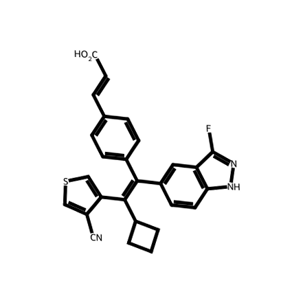 N#Cc1cscc1/C(=C(\c1ccc(/C=C/C(=O)O)cc1)c1ccc2[nH]nc(F)c2c1)C1CCC1